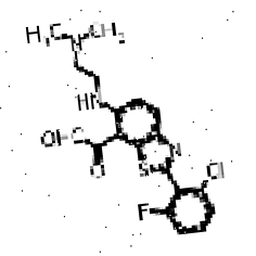 CN(C)CCNc1ccc2nc(-c3c(F)cccc3Cl)sc2c1C(=O)C=O